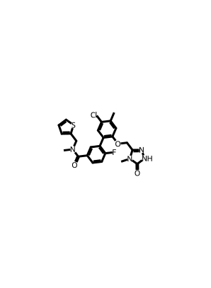 Cc1cc(OCc2n[nH]c(=O)n2C)c(-c2cc(C(=O)N(C)Cc3cccs3)ccc2F)cc1Cl